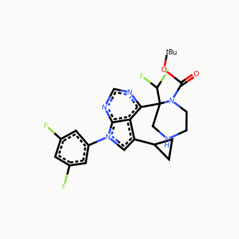 CC(C)(C)OC(=O)N1CCNCC1(c1ncnc2c1c(C1CC1)cn2-c1cc(F)cc(F)c1)C(F)F